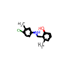 Cc1cc(NCc2c(C)cccc2O)ccc1Cl